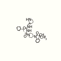 CC1(C)C(=O)N(C2CCN(C(=O)[C@H](CCc3ccccc3)NC(=O)NC[C@@H]3CCCNC3)CC2)c2ccccc21